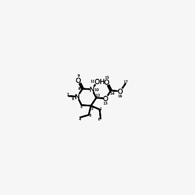 CCC1(CC)CN(C)C(=O)N(O)C1OC(=O)OC